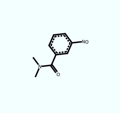 CN(C)C(=O)c1cccc(N=O)c1